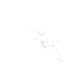 COc1ccc(-c2cc(=S)n(C)c(=O)n2C)c(C)c1